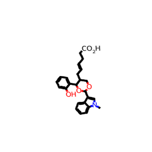 Cn1cc(C2OCC(CC=CCCC(=O)O)C(c3ccccc3O)O2)c2ccccc21